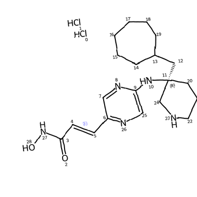 Cl.Cl.O=C(/C=C/c1cnc(N[C@@]2(CC3CCCCCC3)CCCNC2)cn1)NO